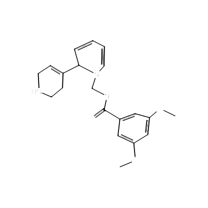 COc1cc(OC)cc(C(=O)NCN2C=CC=CC2C2=CCNCC2)c1